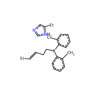 CCC=CCCB(c1ccccc1C)c1ccccc1C.CCc1cnc[nH]1